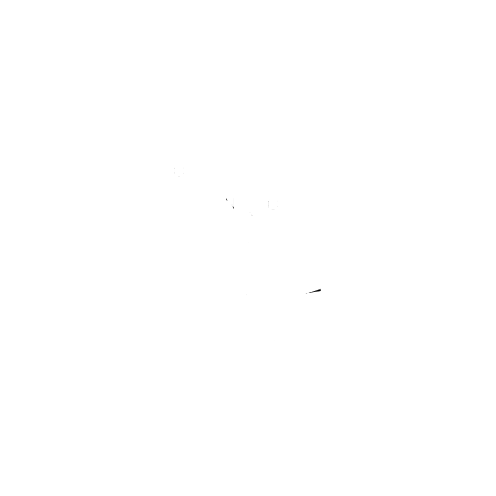 C[C@H]1CCCC(C)(C)[C@@H]1/C=C/C(=O)N1CCOCC1